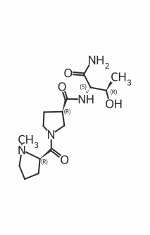 C[C@@H](O)[C@H](NC(=O)[C@@H]1CCN(C(=O)[C@H]2CCCN2C)C1)C(N)=O